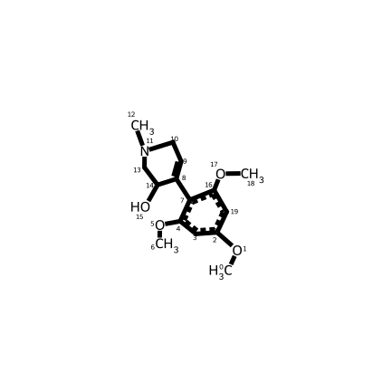 COc1cc(OC)c(C2=CCN(C)CC2O)c(OC)c1